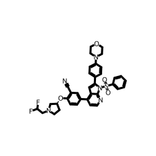 N#Cc1cc(-c2ccnc3c2cc(-c2ccc(N4CCOCC4)cc2)n3S(=O)(=O)c2ccccc2)ccc1O[C@@H]1CCN(CC(F)F)C1